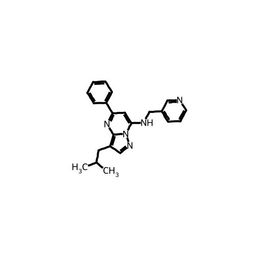 CC(C)Cc1cnn2c(NCc3cccnc3)cc(-c3ccccc3)nc12